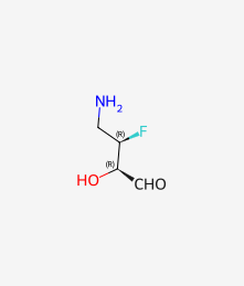 NC[C@@H](F)[C@H](O)C=O